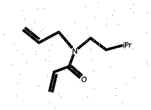 C=CCN(CCC(C)C)C(=O)C=C